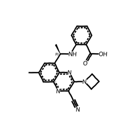 Cc1cc([C@@H](C)Nc2ccccc2C(=O)O)c2nc(N3CCC3)c(C#N)nc2c1